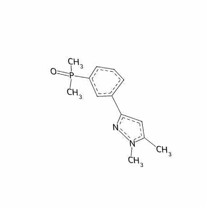 Cc1cc(-c2cccc(P(C)(C)=O)c2)nn1C